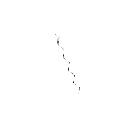 C/C=C/CCCCCCCF